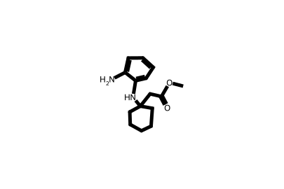 COC(=O)CC1(Nc2ccccc2N)CCCCC1